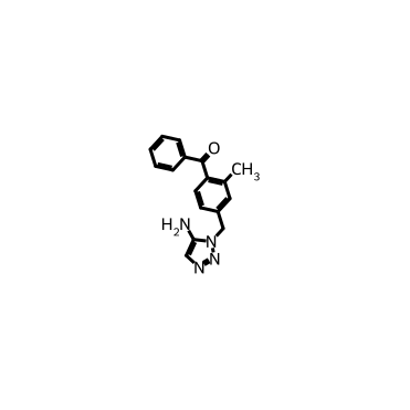 Cc1cc(Cn2nncc2N)ccc1C(=O)c1ccccc1